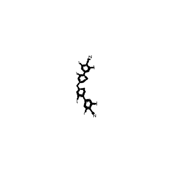 N#Cc1c(I)cc(-c2ccc(Cc3ccc(-c4cc(I)c(C#N)c(I)c4)c(I)c3)cc2I)cc1I